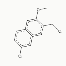 COc1cc2ccc(Cl)cc2cc1CCl